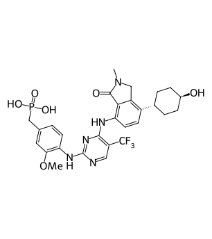 COc1cc(CP(=O)(O)O)ccc1Nc1ncc(C(F)(F)F)c(Nc2ccc([C@H]3CC[C@H](O)CC3)c3c2C(=O)N(C)C3)n1